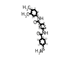 Cc1ccc(NC(=O)c2csc(NC(=O)c3ccc(SN)cc3)n2)cc1C